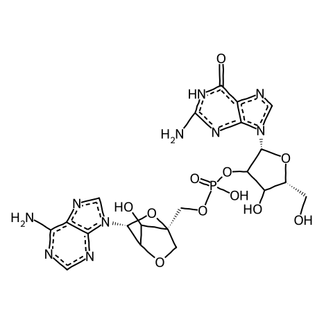 Nc1nc2c(ncn2[C@@H]2O[C@H](CO)C(O)C2OP(=O)(O)OC[C@]23COC(C2O)[C@H](n2cnc4c(N)ncnc42)O3)c(=O)[nH]1